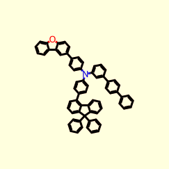 c1ccc(-c2ccc(-c3cccc(N(c4ccc(-c5ccc6oc7ccccc7c6c5)cc4)c4ccc(-c5cccc6c5-c5ccccc5C6(c5ccccc5)c5ccccc5)cc4)c3)cc2)cc1